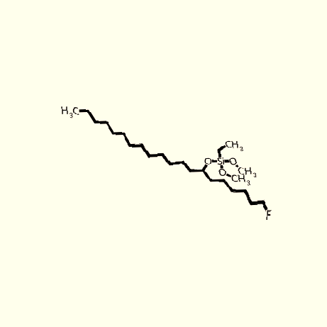 CCCCCCCCCCCCCC(CCCCCCF)O[Si](CC)(OC)OC